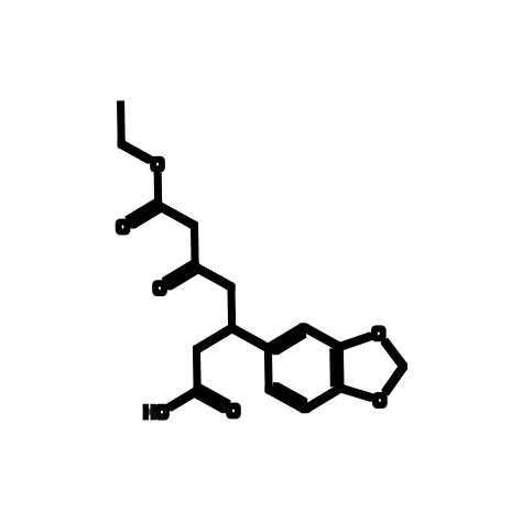 CCOC(=O)CC(=O)CC(CC(=O)O)c1ccc2c(c1)OCO2